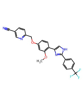 COc1cc(OCc2ccc(C#N)cn2)ccc1-c1c[nH]c(-c2ccc(C(F)(F)F)cc2)n1